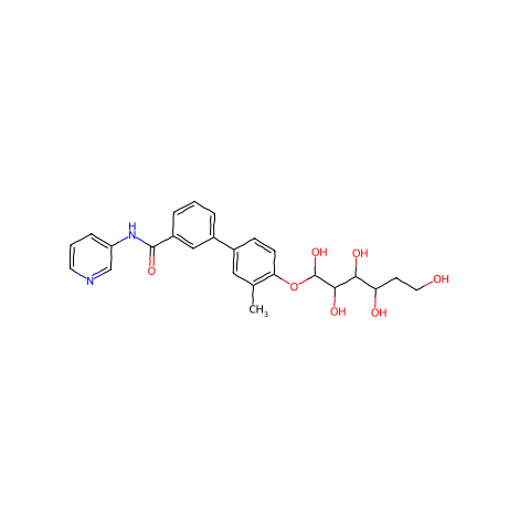 Cc1cc(-c2cccc(C(=O)Nc3cccnc3)c2)ccc1OC(O)C(O)C(O)C(O)CCO